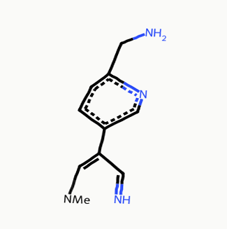 CN/C=C(\C=N)c1ccc(CN)nc1